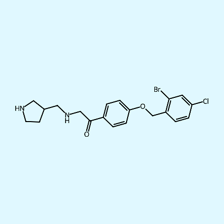 O=C(CNCC1CCNC1)c1ccc(OCc2ccc(Cl)cc2Br)cc1